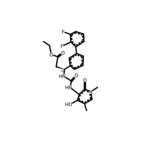 CCOC(=O)C[C@H](NC(=O)Nc1c(O)c(C)cn(C)c1=O)c1cccc(-c2cccc(F)c2F)c1